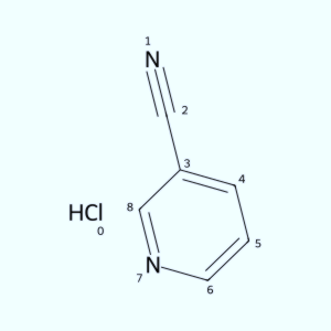 Cl.N#Cc1cccnc1